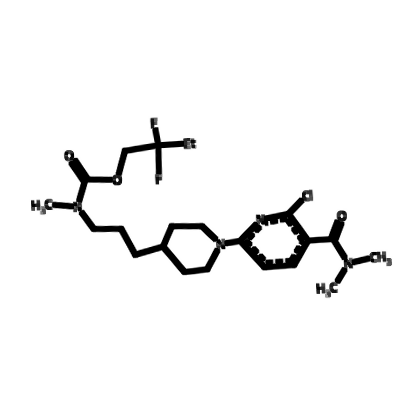 CCC(F)(F)COC(=O)N(C)CCCC1CCN(c2ccc(C(=O)N(C)C)c(Cl)n2)CC1